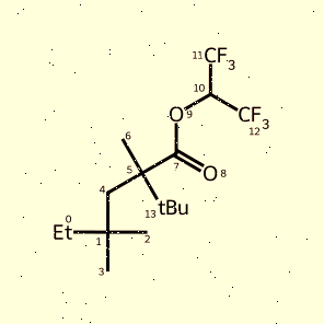 CCC(C)(C)CC(C)(C(=O)OC(C(F)(F)F)C(F)(F)F)C(C)(C)C